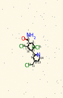 Cl.NC(=O)c1ccc(-c2cc(CCl)ccn2)cc1Cl